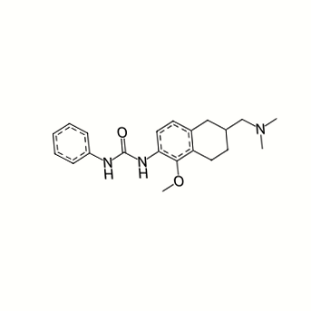 COc1c(NC(=O)Nc2ccccc2)ccc2c1CCC(CN(C)C)C2